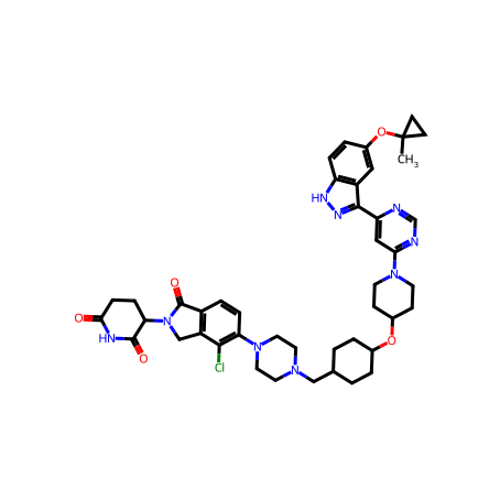 CC1(Oc2ccc3[nH]nc(-c4cc(N5CCC(OC6CCC(CN7CCN(c8ccc9c(c8Cl)CN(C8CCC(=O)NC8=O)C9=O)CC7)CC6)CC5)ncn4)c3c2)CC1